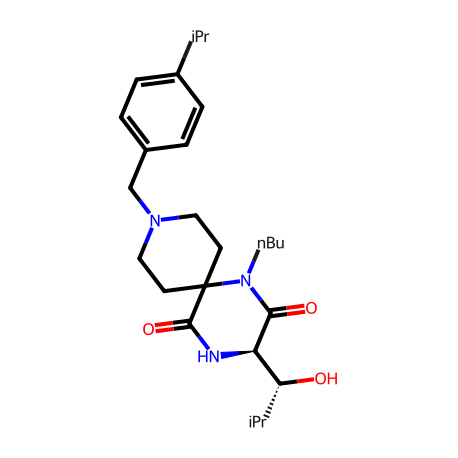 CCCCN1C(=O)[C@@H]([C@H](O)C(C)C)NC(=O)C12CCN(Cc1ccc(C(C)C)cc1)CC2